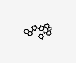 c1ccc(N(c2cccc(-c3cccc(-c4cccc5ccccc45)c3)c2)c2cccc3oc4ccccc4c23)cc1